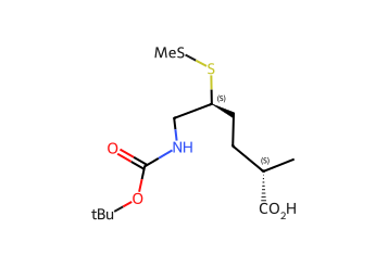 CSS[C@@H](CC[C@H](C)C(=O)O)CNC(=O)OC(C)(C)C